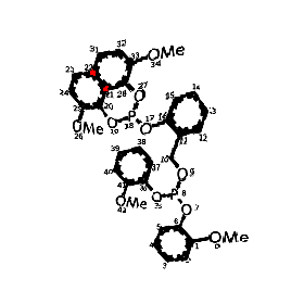 COc1ccccc1OP(OCc1ccccc1OP(Oc1ccccc1OC)Oc1ccccc1OC)Oc1ccccc1OC